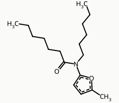 CCCCCCC(=O)N(CCCCCC)c1ccc(C)o1